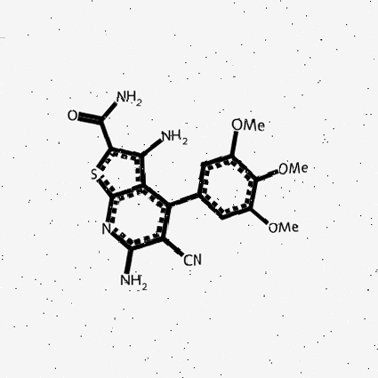 COc1cc(-c2c(C#N)c(N)nc3sc(C(N)=O)c(N)c23)cc(OC)c1OC